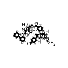 CC(C)(CNC(=O)C(=O)Nc1ccccc1-c1ccccc1)CNC(=O)c1ccc(Nc2nc(NC3(c4ccc(Cl)cc4)CC3)nc(OCC(F)(F)F)n2)cc1